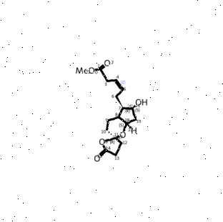 COC(=O)C/C=C\C[C@@H]1C2CC[C@@]3(CCC(=O)O3)O[C@H]2C[C@@H]1O